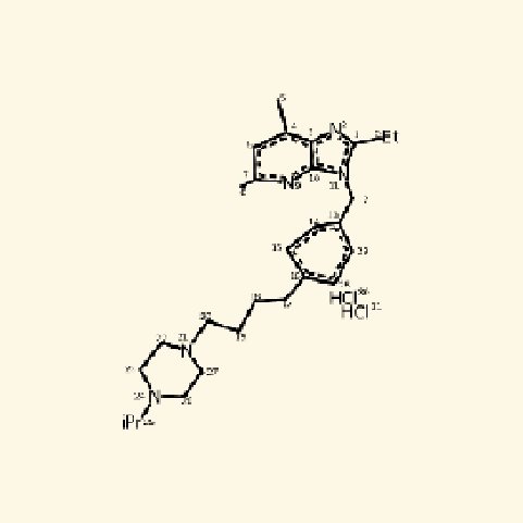 CCc1nc2c(C)cc(C)nc2n1Cc1ccc(CCCCN2CCN(C(C)C)CC2)cc1.Cl.Cl